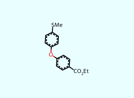 CCOC(=O)c1ccc(Oc2ccc(SC)cc2)cc1